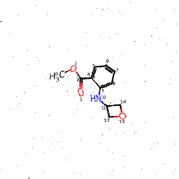 COC(=O)c1ccccc1NC1COC1